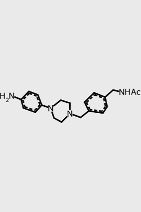 CC(=O)NCc1ccc(CN2CCN(c3ccc(N)cc3)CC2)cc1